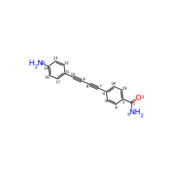 NC(=O)c1ccc(C#CC#Cc2ccc(N)cc2)cc1